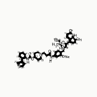 COc1cc(NC(=O)CCN2CCC(OC(=O)Nc3ccccc3-c3ccsc3)CC2)ccc1CNCC(O[Si](C)(C)C(C)(C)C)c1ccc(O)c2[nH]c(=O)ccc12